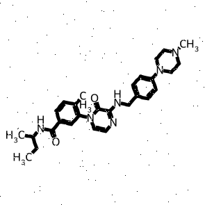 CCC(C)NC(=O)c1ccc(C)c(-n2ccnc(NCc3ccc(N4CCN(C)CC4)cc3)c2=O)c1